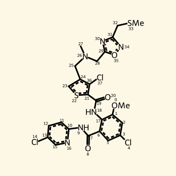 COc1cc(Cl)cc(C(=O)Nc2ccc(Cl)cn2)c1NC(=O)c1scc(CN(C)Cc2nc(CSC)no2)c1Cl